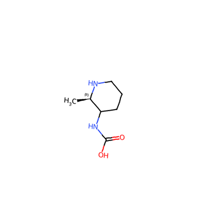 C[C@H]1NCCCC1NC(=O)O